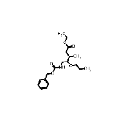 CCCO[C@@H](CNC(=O)OCc1ccccc1)C(C)CC(=O)OCC